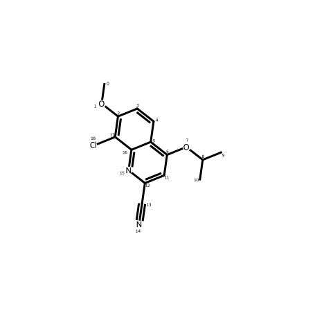 COc1ccc2c(OC(C)C)cc(C#N)nc2c1Cl